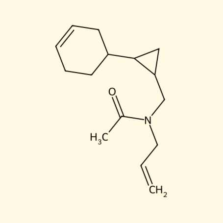 C=CCN(CC1CC1C1CC=CCC1)C(C)=O